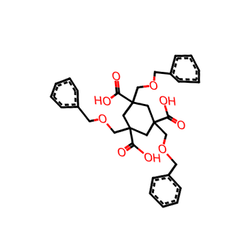 O=C(O)C1(COCc2ccccc2)CC(COCc2ccccc2)(C(=O)O)CC(COCc2ccccc2)(C(=O)O)C1